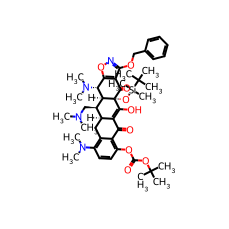 CN(C)C[C@H]1[C@H]2[C@H](N(C)C)c3onc(OCc4ccccc4)c3C(=O)[C@@]2(O[Si](C)(C)C(C)(C)C)C(O)=C2C(=O)c3c(OC(=O)OC(C)(C)C)ccc(N(C)C)c3C[C@H]21